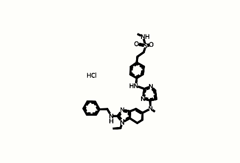 CCn1c(NCc2ccccc2)nc2c1CCC(N(C)c1ccnc(Nc3ccc(CCS(=O)(=O)NC)cc3)n1)=C2.Cl